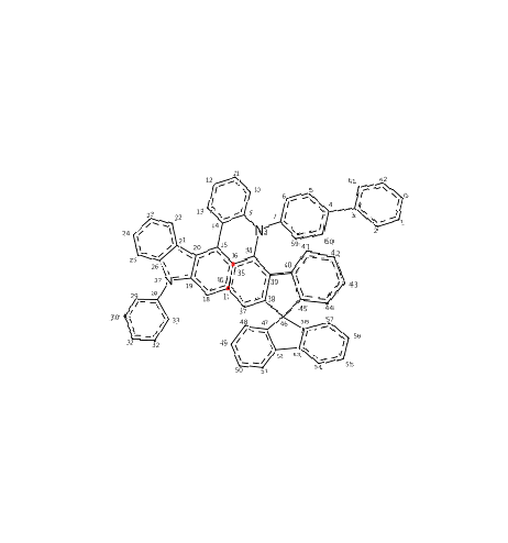 c1ccc(-c2ccc(N(c3ccccc3-c3cccc4c3c3ccccc3n4-c3ccccc3)c3cccc4c3-c3ccccc3C43c4ccccc4-c4ccccc43)cc2)cc1